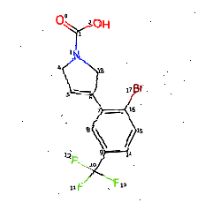 O=C(O)N1CC=C(c2cc(C(F)(F)F)ccc2Br)C1